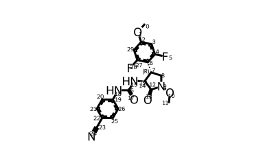 COc1cc(F)c([C@@H]2CN(OC)C(=O)[C@H]2NC(=O)Nc2ccc(C#N)cc2)c(F)c1